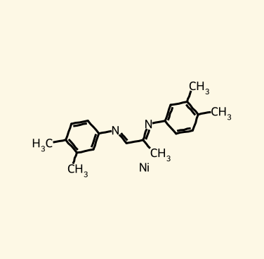 CC(C=Nc1ccc(C)c(C)c1)=Nc1ccc(C)c(C)c1.[Ni]